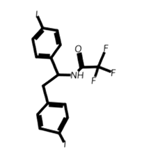 O=C(NC(Cc1ccc(I)cc1)c1ccc(I)cc1)C(F)(F)F